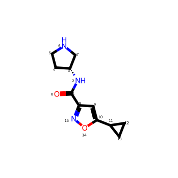 O=C(N[C@@H]1CCNC1)c1cc(C2CC2)on1